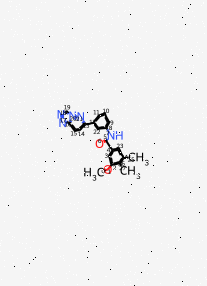 COc1cc(C(=O)Nc2cccc(-c3ccc4nncn4n3)c2)cc(C)c1C